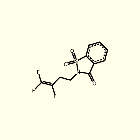 O=C1c2ccccc2S(=O)(=O)N1CCC(F)=C(F)F